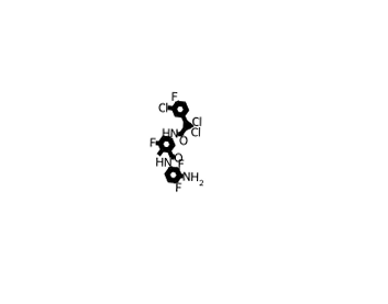 Cc1c(F)cc(NC(=O)C2C(c3ccc(F)c(Cl)c3)C2(Cl)Cl)cc1C(=O)Nc1ccc(F)c(N)c1F